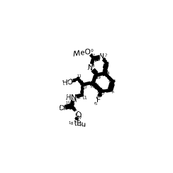 COc1ncc2ccc(F)c(C(CO)CNC(=O)OC(C)(C)C)c2n1